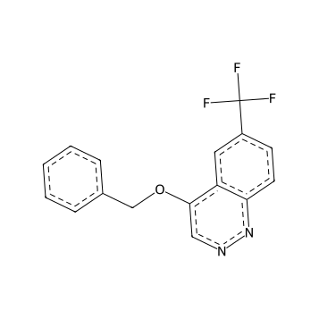 FC(F)(F)c1ccc2nncc(OCc3ccccc3)c2c1